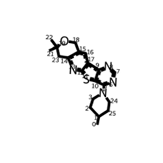 CC1CCN(c2ncnc3c2sc2nc4c(cc23)COC(C)(C)C4)CC1